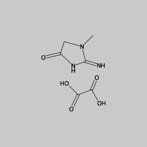 CN1CC(=O)NC1=N.O=C(O)C(=O)O